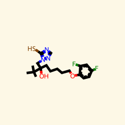 CC(C)(C)C(O)(CCCCCOc1ccc(F)cc1F)Cn1ncnc1S